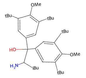 CCC(C)C(N)C(O)(c1cc(C(C)(C)C)c(OC)c(C(C)(C)C)c1)c1cc(C(C)(C)C)c(OC)c(C(C)(C)C)c1